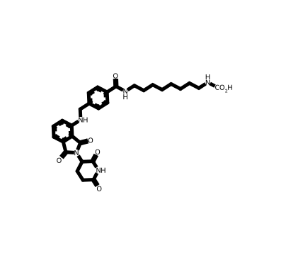 O=C(O)NCCCCCCCCNC(=O)c1ccc(CNc2cccc3c2C(=O)N(C2CCC(=O)NC2=O)C3=O)cc1